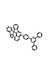 c1ccc(-c2cc(-c3ccccc3)nc(-c3ccc(-c4nc5c(c6ccccc46)C4(c6ccccc6-c6ccccc64)c4ccccc4-5)cc3)n2)cc1